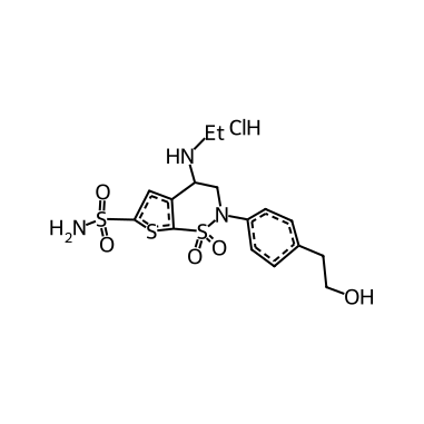 CCNC1CN(c2ccc(CCO)cc2)S(=O)(=O)c2sc(S(N)(=O)=O)cc21.Cl